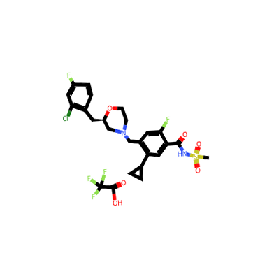 CS(=O)(=O)NC(=O)c1cc(C2CC2)c(CN2CCO[C@H](Cc3ccc(F)cc3Cl)C2)cc1F.O=C(O)C(F)(F)F